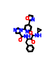 O=C(NC1CC1)C(=O)C(Cc1ccccc1)NC(=O)c1cncn1-c1cc(-c2ncco2)ccn1